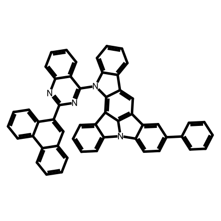 c1ccc(-c2ccc3c(c2)c2cc4c5ccccc5n(-c5nc(-c6cc7ccccc7c7ccccc67)nc6ccccc56)c4c4c5ccccc5n3c24)cc1